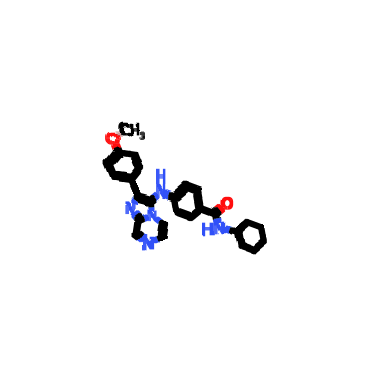 COc1ccc(-c2nc3cnccn3c2Nc2ccc(C(=O)NC3CCCCC3)cc2)cc1